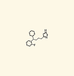 Fc1ccccc1C(CCCc1c[nH]cn1)c1ccccc1